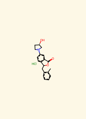 Cc1ccccc1CC1OC(=O)c2cc(N3CC[C@@H](O)C3)ccc21.Cl